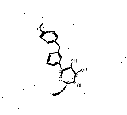 COc1ccc(Cc2cccc([C@@H]3O[C@H](CC#N)[C@@H](O)[C@H](O)C3O)c2)cc1